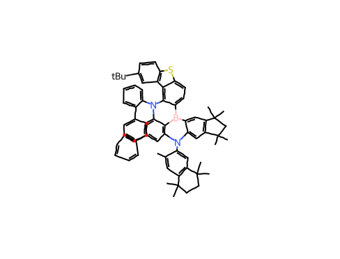 Cc1cc2c(cc1N1c3cc4c(cc3B3c5ccc6sc7ccc(C(C)(C)C)cc7c6c5N(c5ccccc5-c5ccccc5)c5cc(-c6ccccc6)cc1c53)C(C)(C)CC4(C)C)C(C)(C)CCC2(C)C